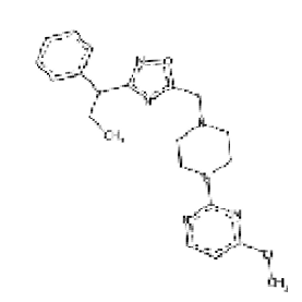 CCC(c1ccccc1)c1noc(CN2CCN(c3nccc(OC)n3)CC2)n1